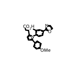 COc1ccc(-c2ccc(CCC(=O)O)n2-c2ccc(-c3ncco3)cc2C)cc1